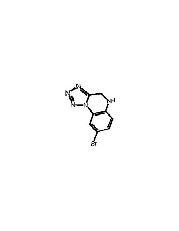 Brc1ccc2c(c1)-n1nnnc1CN2